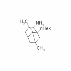 CCCCCCC12CC3CC(C)(CC(C)(C3)C1N)C2